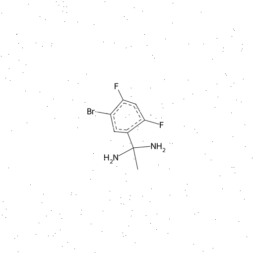 CC(N)(N)c1cc(Br)c(F)cc1F